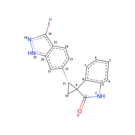 O=C1Nc2ccccc2C12C[C@@H]2c1ccc2c(I)n[nH]c2c1